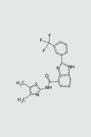 Cc1nc(NC(=O)c2cccc3[nH]c(-c4cccc(C(F)(F)F)c4)nc23)sc1C